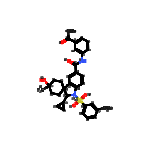 COC(=O)c1cccc(NC(=O)c2ccc3c(c2)C2(CCC(O)(C(F)(F)F)CC2)C(C2CC2)N3S(=O)(=O)c2cccc(OC)c2)c1